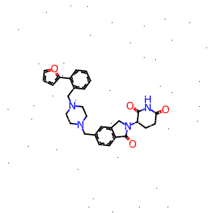 O=C1CCC(N2Cc3cc(CN4CCN(Cc5ccccc5-c5ccco5)CC4)ccc3C2=O)C(=O)N1